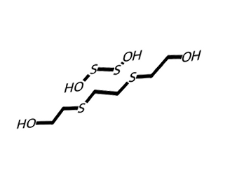 OCCSCCSCCO.OSSO